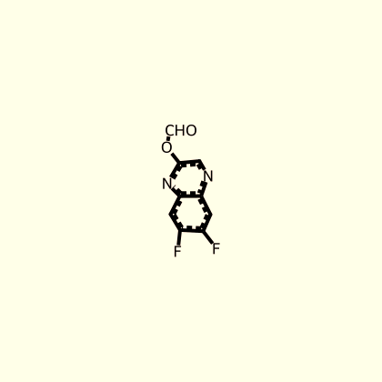 O=COc1cnc2cc(F)c(F)cc2n1